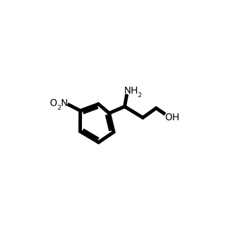 NC(CCO)c1cccc([N+](=O)[O-])c1